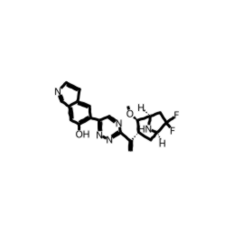 C=C(c1ncc(-c2cc3ccncc3cc2O)nn1)[C@H]1C[C@H]2N[C@H](CC2(F)F)[C@@H]1OC